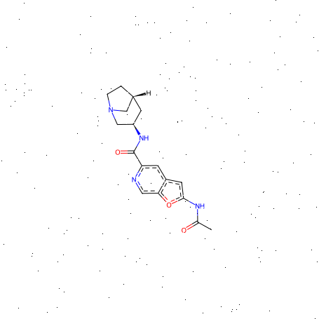 CC(=O)Nc1cc2cc(C(=O)N[C@@H]3C[C@H]4CCN(C4)C3)ncc2o1